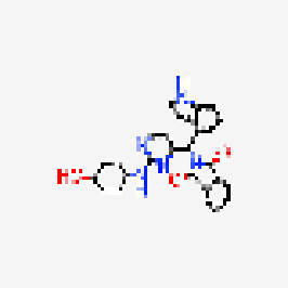 O=C1c2ccccc2C(=O)N1C(c1ccnc(NC2CCC(O)CC2)n1)c1cccc2[nH]ccc12